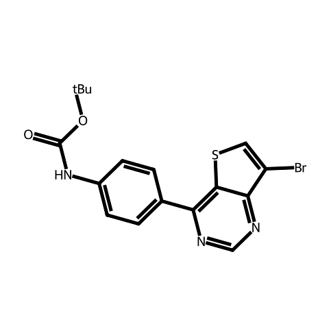 CC(C)(C)OC(=O)Nc1ccc(-c2ncnc3c(Br)csc23)cc1